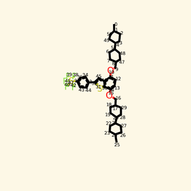 CC1CCC(C2CCC(COc3ccc(OCC4CCC(C5CCC(C)CC5)CC4)c4sc(-c5ccc(S(F)(F)(F)(F)F)cc5)cc34)CC2)CC1